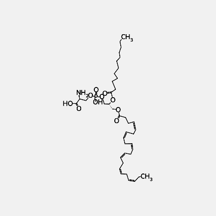 CC/C=C\C/C=C\C/C=C\C/C=C\C/C=C\C/C=C\CCC(=O)OC[C@H](COP(=O)(O)OC[C@H](N)C(=O)O)OC(=O)CCCCCCCCCCC